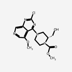 COC(=O)N1CCN(c2nc(Cl)nc3cncc(OC)c23)C[C@@H]1CO